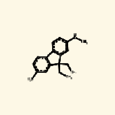 Bc1ccc2c(c1)C(CC)(CC)c1cc(BC)ccc1-2